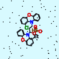 CCc1cccc2c1N(C(CCN1c3ccccc3Oc3cccc(Cl)c31)O[SH](=O)=O)c1ccccc1O2